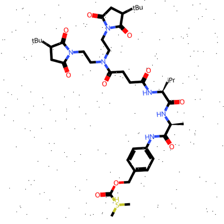 CC(C)[C@H](NC(=O)CCC(=O)N(CCN1C(=O)CC(C(C)(C)C)C1=O)CCN1C(=O)CC(C(C)(C)C)C1=O)C(=O)N[C@@H](C)C(=O)Nc1ccc(COC(=O)[SH](C)C)cc1